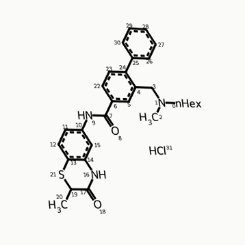 CCCCCCN(C)Cc1cc(C(=O)Nc2ccc3c(c2)NC(=O)C(C)S3)ccc1-c1ccccc1.Cl